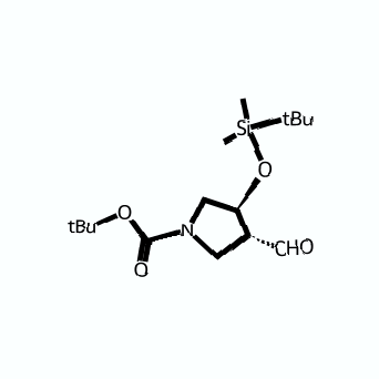 CC(C)(C)OC(=O)N1C[C@@H](C=O)[C@H](O[Si](C)(C)C(C)(C)C)C1